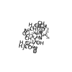 Cc1noc(C)c1-c1cc(C(O)C2CC(C)(C)OC2N=O)c2nc(C3CC3)n(C(=O)OC(C)(C)C)c2c1